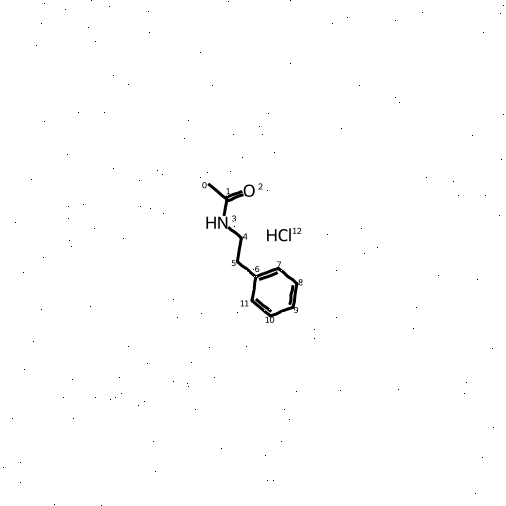 CC(=O)NCCc1ccccc1.Cl